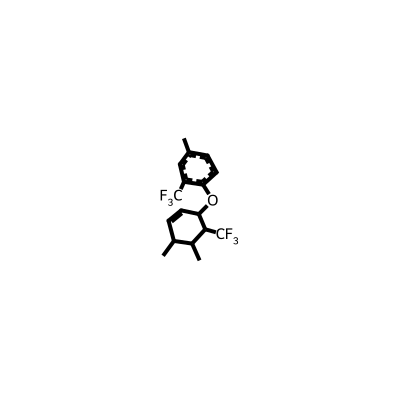 Cc1ccc(OC2C=CC(C)C(C)C2C(F)(F)F)c(C(F)(F)F)c1